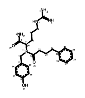 N=C(N)NCCC[C@H](C(N)=O)N(Cc1ccc(O)cc1)C(=O)CCCc1ccccc1